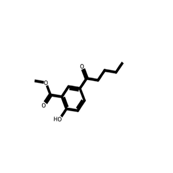 CCCCC(=O)c1ccc(O)c(C(=O)OC)c1